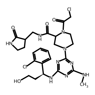 CNc1nc(N[C@@H](CCO)c2ccccc2Cl)nc(N2CCN(C(=O)CCl)C(C(=O)NCC3CCNC3=O)C2)n1